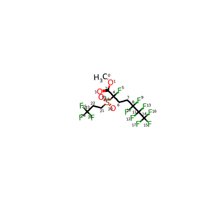 COC(=O)C(F)(CCC(F)(F)C(F)(F)C(F)(F)F)S(=O)(=O)CCC(F)(F)F